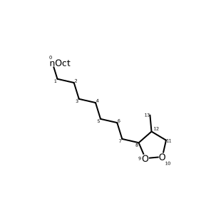 CCCCCCCCCCCCCCCC1OOCC1C